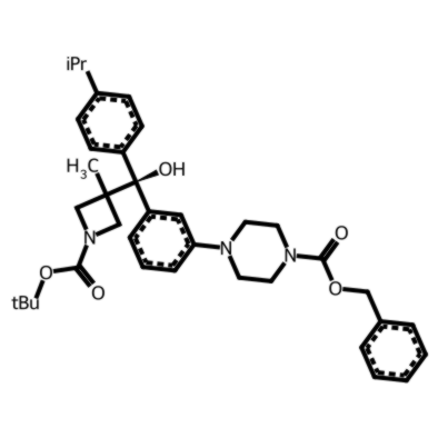 CC(C)c1ccc([C@](O)(c2cccc(N3CCN(C(=O)OCc4ccccc4)CC3)c2)C2(C)CN(C(=O)OC(C)(C)C)C2)cc1